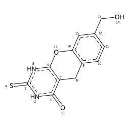 O=c1[nH]c(=S)[nH]c2c1Cc1ccc(CO)cc1O2